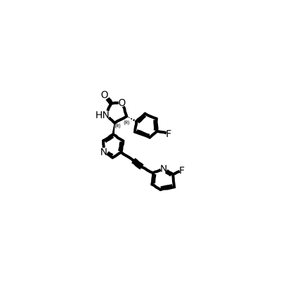 O=C1N[C@H](c2cncc(C#Cc3cccc(F)n3)c2)[C@@H](c2ccc(F)cc2)O1